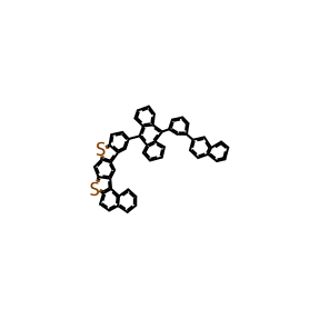 c1cc(-c2ccc3ccccc3c2)cc(-c2c3ccccc3c(-c3ccc4sc5cc6sc7ccc8ccccc8c7c6cc5c4c3)c3ccccc23)c1